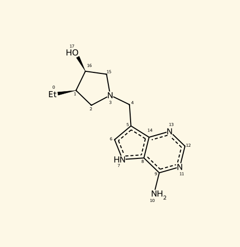 CC[C@@H]1CN(Cc2c[nH]c3c(N)ncnc23)C[C@@H]1O